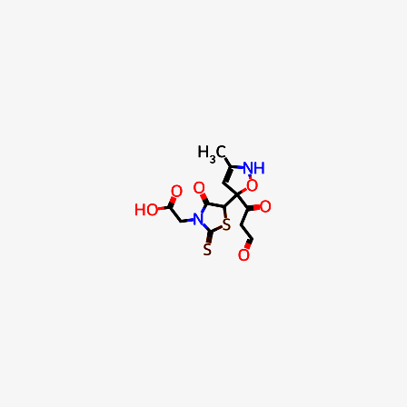 CC1=CC(C(=O)CC=O)(C2SC(=S)N(CC(=O)O)C2=O)ON1